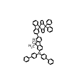 CC1(C)c2cc(-c3ccc4c(c3)C3(c5ccccc5-4)c4ccccc4C(c4ccccc4)(c4ccccc4)c4ccccc43)ccc2-c2ccc(N(c3ccc(-c4ccccc4)cc3)c3ccc(-c4ccccc4)cc3)cc21